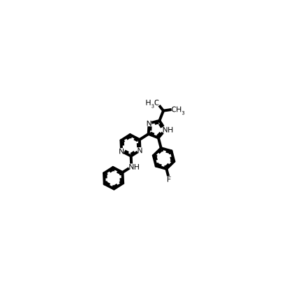 CC(C)c1nc(-c2ccnc(Nc3ccccc3)n2)c(-c2ccc(F)cc2)[nH]1